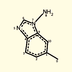 Cc1ccc2ncn(N)c2c1